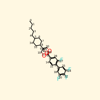 CCCCCC1CCC(C23COC(c4ccc(-c5cc(F)c(F)c(F)c5)c(F)c4)(OC2)OC3)CC1